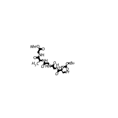 COC(=O)CNC(=O)[C@H](C)NC(=O)CNC(=O)CNC(=O)[C@H](CC(C)C)NC(=O)OC(C)(C)C